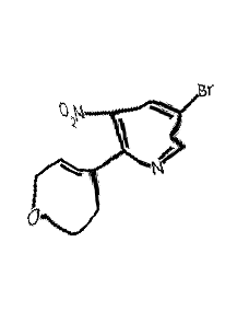 O=[N+]([O-])c1cc(Br)cnc1C1=CCOCC1